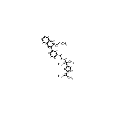 CCOc1nc2ccccc2nc1-c1cccc(CCCC(C)(C)c2csc(C(C)C)n2)c1